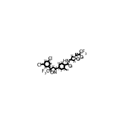 Cc1cc(C2=NOC(c3cc(Cl)cc(Cl)c3)(C(F)(F)F)C2)ccc1C(=O)NC1CS(=O)(=NC(=O)C(F)(F)F)C1